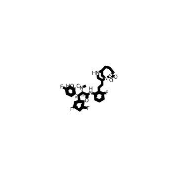 CN(C(=O)O)[C@H](C(=O)Nc1cccc(F)c1CCC1CNC2CCCS(=O)(=O)N1C2)[C@@H](c1ccc(F)cc1)c1cc(F)cc(F)c1